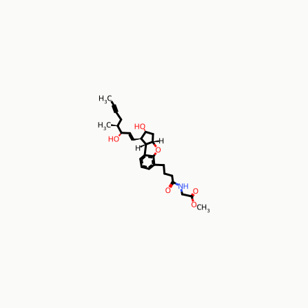 CC#CC[C@H](C)[C@H](O)/C=C/[C@@H]1[C@H]2c3cccc(CCCC(=O)NCC(=O)OC)c3O[C@H]2C[C@H]1O